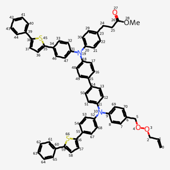 C=CCOOCc1ccc(N(c2ccc(-c3ccc(N(c4ccc(CCC(=O)OC)cc4)c4ccc(-c5ccc(-c6ccccc6)s5)cc4)cc3)cc2)c2ccc(-c3ccc(-c4ccccc4)s3)cc2)cc1